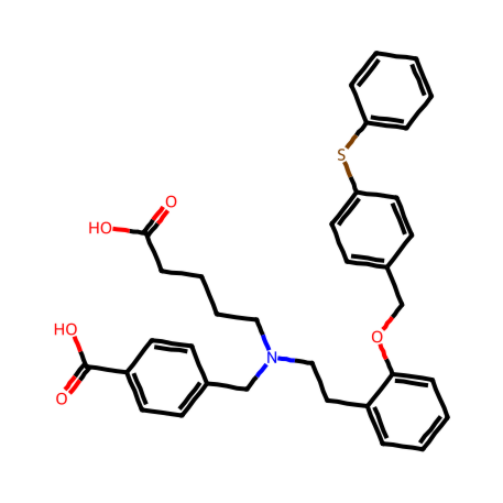 O=C(O)CCCCN(CCc1ccccc1OCc1ccc(Sc2ccccc2)cc1)Cc1ccc(C(=O)O)cc1